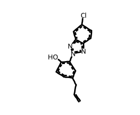 C=CCc1ccc(O)c(-n2nc3ccc(Cl)cc3n2)c1